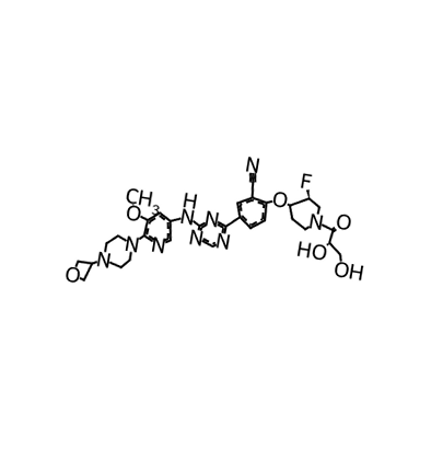 COc1cc(Nc2ncnc(-c3ccc(O[C@H]4CCN(C(=O)[C@@H](O)CO)C[C@@H]4F)c(C#N)c3)n2)cnc1N1CCN(C2COC2)CC1